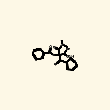 CN(C)C(=O)C(OC(=O)c1ccccc1)(C(=O)c1ccccc1)C(O)C(=O)O